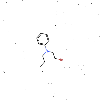 CCCN(CCBr)c1ccccc1